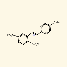 COc1ccc(/C=C/c2cc(C(=O)O)ccc2C(=O)O)cc1